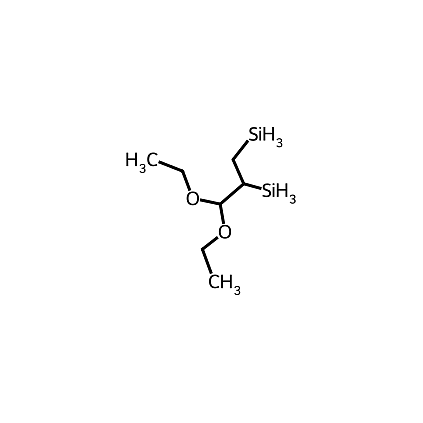 CCOC(OCC)C([SiH3])C[SiH3]